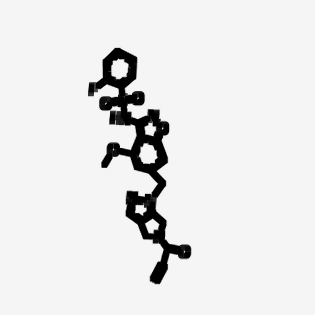 C#CC(=O)N1Cc2cnn(Cc3cc(OC)c4c(NS(=O)(=O)c5ccccc5F)noc4c3)c2C1